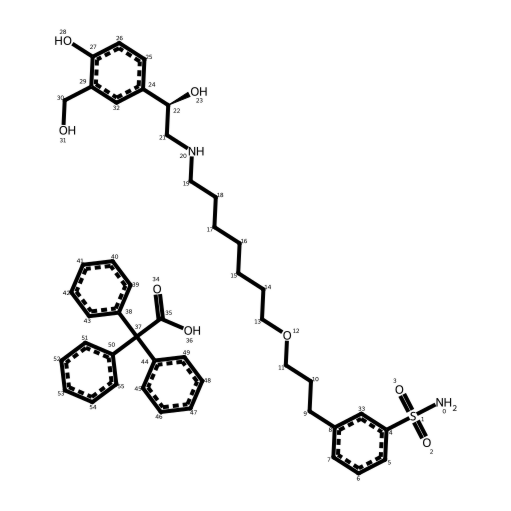 NS(=O)(=O)c1cccc(CCCOCCCCCCCNC[C@H](O)c2ccc(O)c(CO)c2)c1.O=C(O)C(c1ccccc1)(c1ccccc1)c1ccccc1